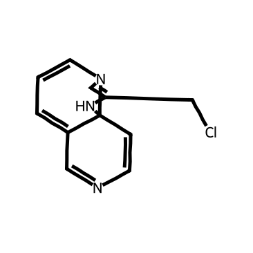 ClCC1=CN2C=CC=C3C=NC=CC32N1